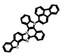 c1ccc2c(c1)-c1cccc3c(-n4c5ccccc5c5c4c4ccccc4c4nc6c7sc8ccccc8c7ccc6n45)ccc-2c13